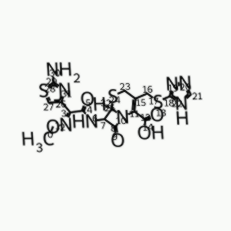 CON=C(C(=O)NC1C(=O)N2C(C(=O)O)=C(CSc3nnc[nH]3)CS[C@@H]12)c1csc(N)n1